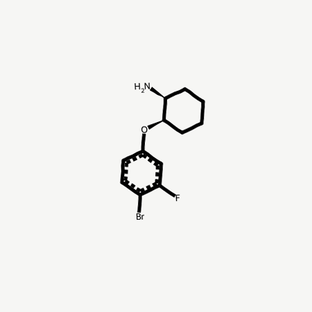 N[C@H]1CCCC[C@H]1Oc1ccc(Br)c(F)c1